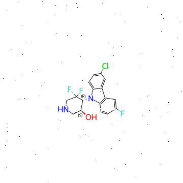 O[C@H]1CNCC(F)(F)[C@@H]1n1c2ccc(F)cc2c2cc(Cl)ccc21